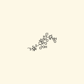 CCSc1nnc(SCC2=C(C(=O)O)N3C(=O)C(NC(=O)C(=CCl)c4csc(NC=O)n4)[C@@H]3SC2)s1